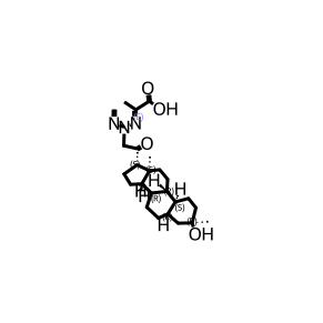 C=NN(CC(=O)[C@H]1CC[C@H]2[C@@H]3CC[C@@H]4C[C@](C)(O)CC[C@@H]4[C@H]3CC[C@]12C)/N=C(\C)C(=O)O